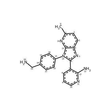 Cc1ccc2nc(-c3cccnc3N)n(-c3ccc(CN)cc3)c2n1